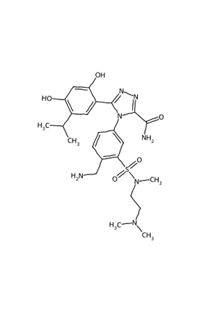 CC(C)c1cc(-c2nnc(C(N)=O)n2-c2ccc(CN)c(S(=O)(=O)N(C)CCN(C)C)c2)c(O)cc1O